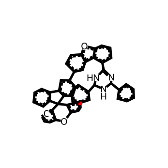 c1ccc(C2N=C(c3cccc4oc5ccc(-c6ccc7c(c6)-c6ccccc6C76c7ccccc7Oc7ccccc76)cc5c34)NC(c3ccccc3)N2)cc1